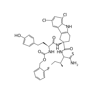 CC[C@H](C)C(NC(=O)[C@@]1(NC(=O)[C@H](CCc2ccc(O)cc2)NC(=O)OCc2ccccc2F)CCc2[nH]c3c(Cl)cc(Cl)cc3c2C1)C(N)=S